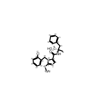 CCCSc1ncc(C(=O)N[C@](C)(Cc2ccccc2)C(=O)O)n1Cc1ccccc1Cl